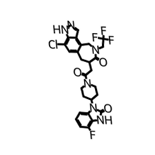 O=C(CC1Cc2cc(Cl)c3[nH]ncc3c2CN(CC(F)(F)F)C1=O)N1CCC(n2c(=O)[nH]c3c(F)cccc32)CC1